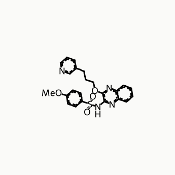 COc1ccc(S(=O)(=O)Nc2nc3ccccc3nc2OCCCc2cccnc2)cc1